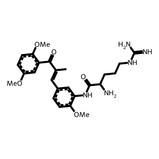 COc1ccc(OC)c(C(=O)C(C)=Cc2ccc(OC)c(NC(=O)C(N)CCCNC(=N)N)c2)c1